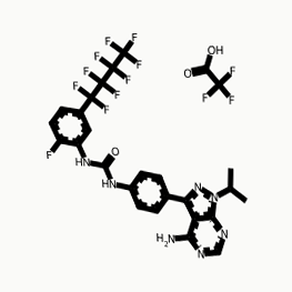 CC(C)n1nc(-c2ccc(NC(=O)Nc3cc(C(F)(F)C(F)(F)C(F)(F)C(F)(F)F)ccc3F)cc2)c2c(N)ncnc21.O=C(O)C(F)(F)F